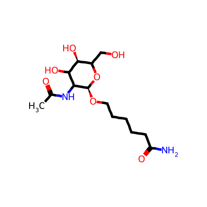 CC(=O)NC1C(O)[C@@H](O)C(CO)O[C@H]1OCCCCCC(N)=O